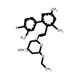 CCOC1C[C@H](O)C[C@@H](/C=C/c2c(C)cc(C)cc2-c2ccc(F)c(C)c2)O1